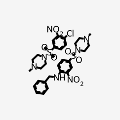 CN1CCN(S(=O)(=O)c2ccc(Cl)c([N+](=O)[O-])c2)CC1.CN1CCN(S(=O)(=O)c2ccc(NCc3ccccc3)c([N+](=O)[O-])c2)CC1